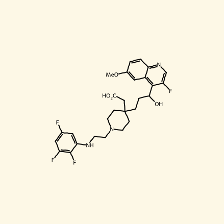 COc1ccc2ncc(F)c(C(O)CCC3(CC(=O)O)CCN(CCNc4cc(F)cc(F)c4F)CC3)c2c1